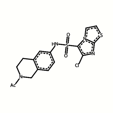 CC(=O)N1CCc2cc(NS(=O)(=O)c3c(Cl)nc4sccn34)ccc2C1